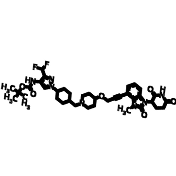 Cn1c(=O)n(C2CCC(=O)NC2=O)c2cccc(C#CCOC3CCN(CC4CCC(n5cc(NC(=O)OC(C)(C)C)c(C(F)F)n5)CC4)CC3)c21